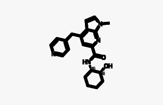 Cn1ccc2c(Cc3ccncc3)cc(C(=O)N[C@H]3CCCC[C@@H]3O)nc21